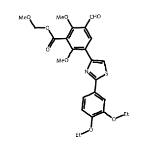 CCOc1ccc(-c2nc(-c3cc(C=O)c(OC)c(C(=O)OCOC)c3OC)cs2)cc1OCC